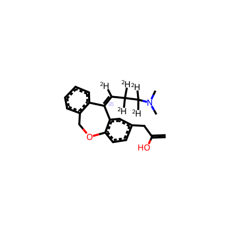 [2H]/C(=C1\c2ccccc2COc2ccc(CC(=C)O)cc21)C([2H])([2H])C([2H])([2H])N(C)C